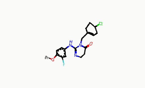 CC(C)Oc1ccc(NC2=NCCC(=O)N2CC2=CCC(Cl)CC2)cc1F